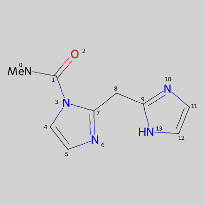 CNC(=O)n1ccnc1Cc1ncc[nH]1